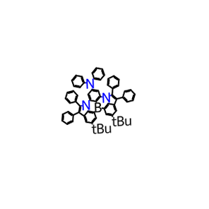 CC(C)(C)c1cc2c3c(c1)c(-c1ccccc1)c(-c1ccccc1)n3-c1cc(N(c3ccccc3)c3ccccc3)cc3c1B2c1cc(C(C)(C)C)cc2c(-c4ccccc4)c(-c4ccccc4)n-3c12